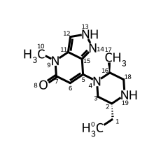 CC[C@@H]1CN(c2cc(=O)n(C)c3c[nH]nc23)[C@@H](C)CN1